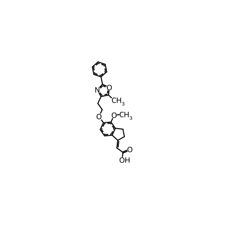 COc1c(OCCc2nc(-c3ccccc3)oc2C)ccc2c1CCC2=CC(=O)O